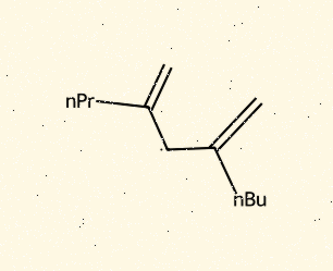 C=C([CH]C(=C)CCCC)CCC